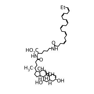 CC/C=C\C/C=C\C/C=C\C/C=C\C/C=C\C/C=C\CCC(=O)NCCCCC(NC(=O)CC[C@@H](C)C1CC[C@H]2[C@@H]3[C@H](O)C[C@@H]4C[C@H](O)CC[C@]4(C)[C@H]3CC[C@]12C)C(=O)O